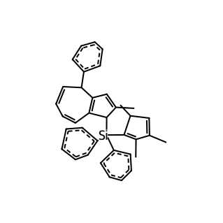 CC1=CC(C)C([Si](c2ccccc2)(c2ccccc2)C2C(C)=CC3=C2C=CC=CC3c2ccccc2)=C1C